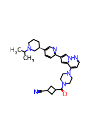 CC(C)N1CCC[C@@H](c2ccc(-c3cc4c(N5CCN(C(=O)C6CC(C#N)C6)CC5)ccnn4c3)nc2)C1